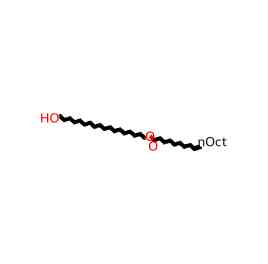 CCCCCCCC/C=C\CCCCCCCC(=O)OCCCCCCCCCCCCCCCCCCO